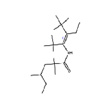 C=C(N/C(=C(\CC)C(C)(C)C)C(C)(C)C)C(C)(C)CC(C)CC